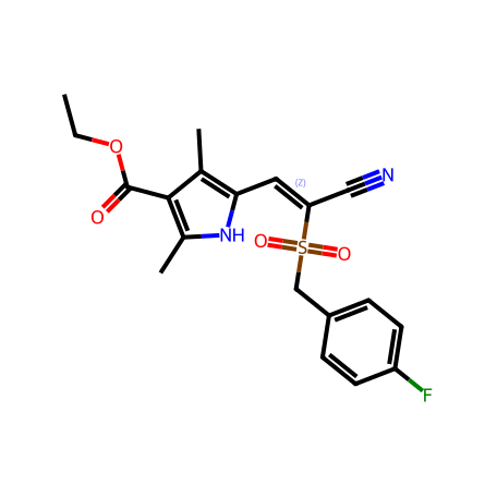 CCOC(=O)c1c(C)[nH]c(/C=C(/C#N)S(=O)(=O)Cc2ccc(F)cc2)c1C